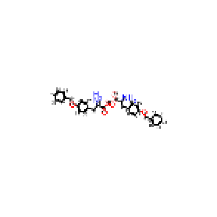 NC(Cc1ccc(OCc2ccccc2)cc1)C(=O)OOC(=O)C(N)Cc1ccc(OCc2ccccc2)cc1